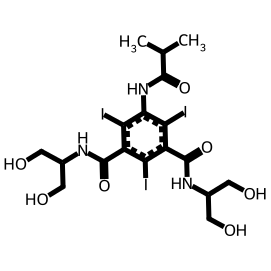 CC(C)C(=O)Nc1c(I)c(C(=O)NC(CO)CO)c(I)c(C(=O)NC(CO)CO)c1I